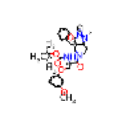 COc1cccc(OC[C@@H](NC(=O)OC(C)(C)C)C(=O)N2CCC3=NN(C)C(=O)[C@]3(Cc3ccccc3)C2)c1